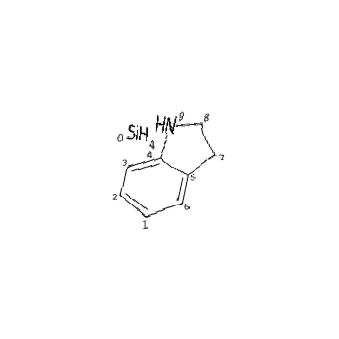 [SiH4].c1ccc2c(c1)CCN2